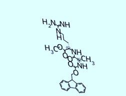 COC(=O)[C@H](CCCNC(=N)N)NC(=O)[C@H](C)NC(=O)OCC1c2ccccc2-c2ccccc21